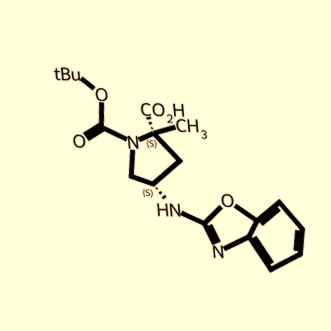 CC(C)(C)OC(=O)N1C[C@@H](Nc2nc3ccccc3o2)C[C@@]1(C)C(=O)O